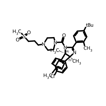 Cc1ccc([C@@]2(C)N(C(=O)N3CCN(CCCS(C)(=O)=O)CC3)C(c3ccc(C(C)(C)C)cc3C)=N[C@@]2(C)c2ccc(Cl)cc2)cc1